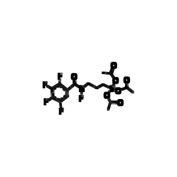 CC(=O)O[Si](CCCN(F)C(=O)c1cc(F)c(F)c(F)c1F)(OC(C)=O)OC(C)=O